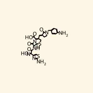 Nc1ccc(CN2CC/C(=C\C3=C(C(=O)O)N4C(=O)[C@@H](NC(=O)/C(=N\O)c5csc(N)n5)[C@H]4SC3)C2=O)cc1